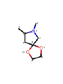 CC1CC2(CN1C)OCCO2